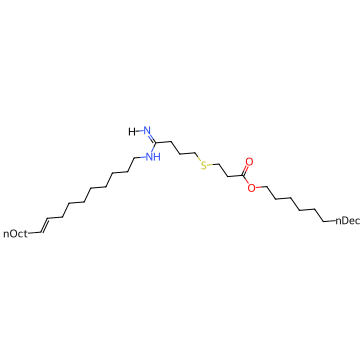 [H]/N=C(/CCCSCCC(=O)OCCCCCCCCCCCCCCCC)NCCCCCCCCC=CCCCCCCCC